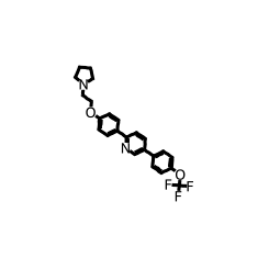 FC(F)(F)Oc1ccc(-c2ccc(-c3ccc(OCCN4CCCC4)cc3)nc2)cc1